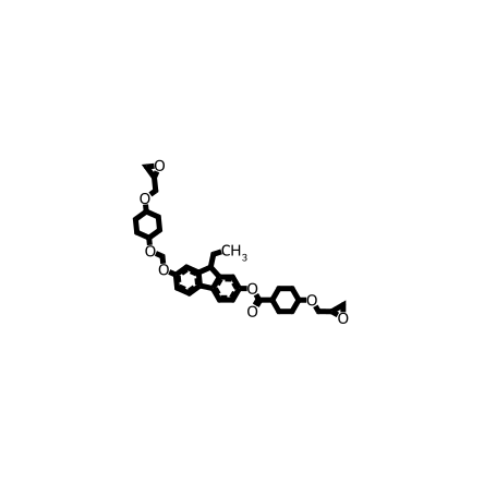 CCC1c2cc(OCOC3CCC(OCC4CO4)CC3)ccc2-c2ccc(OC(=O)C3CCC(OCC4CO4)CC3)cc21